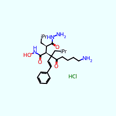 CC(C)C[C@@H](C(=O)NN)[C@H](C(=O)NO)C(/C=C/c1ccccc1)(CC(C)C)C(=O)CCCCN.Cl